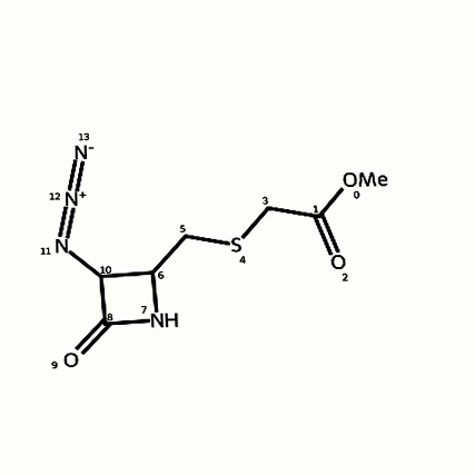 COC(=O)CSCC1NC(=O)C1N=[N+]=[N-]